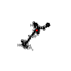 COP(O)(=S)OC1[C@@H](COC(=O)OCc2ccccc2)O[C@@H](n2ccc(=O)[nH]c2=O)[C@H]1CCCCCCCNC(=S)CCCCO[C@@H]1O[C@H](CO)[C@H](O)[C@H](O)[C@H]1NC(C)=O